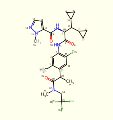 Cc1cc(NC(=O)[C@@H](NC(=O)c2ccnn2C)C(C2CC2)C2CC2)c(F)cc1C(C)C(=O)N(C)CC(F)(F)F